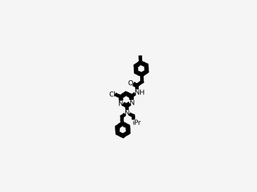 Cc1ccc(CC(=O)Nc2cc(Cl)nc(N(Cc3ccccc3)CC(C)C)n2)cc1